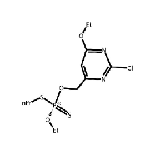 CCCS[P@@](=S)(OCC)OCc1cc(OCC)nc(Cl)n1